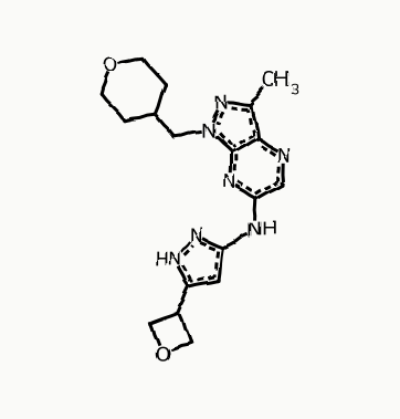 Cc1nn(CC2CCOCC2)c2nc(Nc3cc(C4COC4)[nH]n3)cnc12